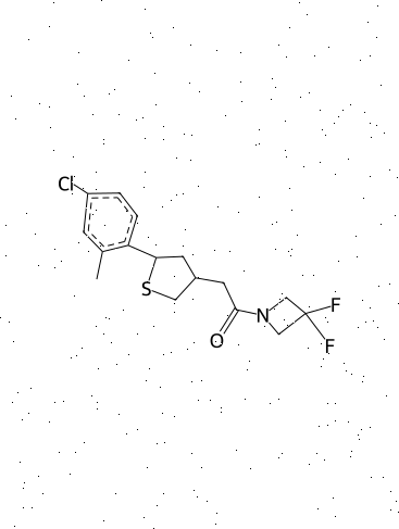 Cc1cc(Cl)ccc1C1CC(CC(=O)N2CC(F)(F)C2)CS1